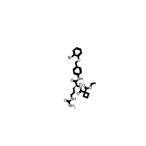 CCOC(=O)C1(C(=O)N[C@@H](CCCNC(N)=O)C(=O)Nc2ccc(COc3ccccc3Br)cc2)CCC1